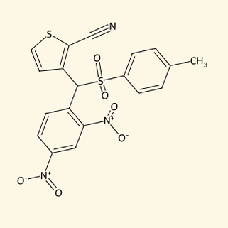 Cc1ccc(S(=O)(=O)C(c2ccc([N+](=O)[O-])cc2[N+](=O)[O-])c2ccsc2C#N)cc1